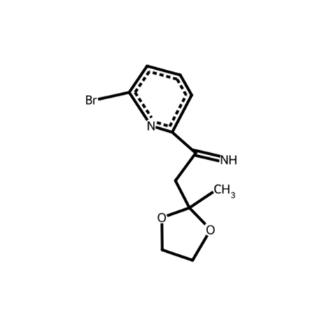 CC1(CC(=N)c2cccc(Br)n2)OCCO1